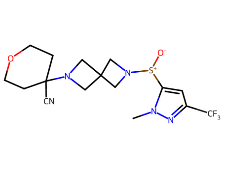 Cn1nc(C(F)(F)F)cc1[S+]([O-])N1CC2(C1)CN(C1(C#N)CCOCC1)C2